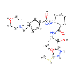 CC(C)C[C@H](NC(=O)[C@@H]1CCCC[C@@H]1NC(=O)c1ccc(CN2CCOCC2)cc1)C(=O)c1nnc(SC(C)C)o1